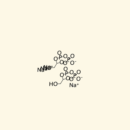 O=P([O-])([O-])OP1(=O)OC(CO)O1.O=P([O-])([O-])OP1(=O)OC(CO)O1.[Na+].[Na+].[Na+].[Na+]